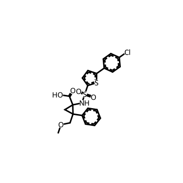 COCC1(c2ccccc2)CC1(NS(=O)(=O)c1ccc(-c2ccc(Cl)cc2)s1)C(=O)O